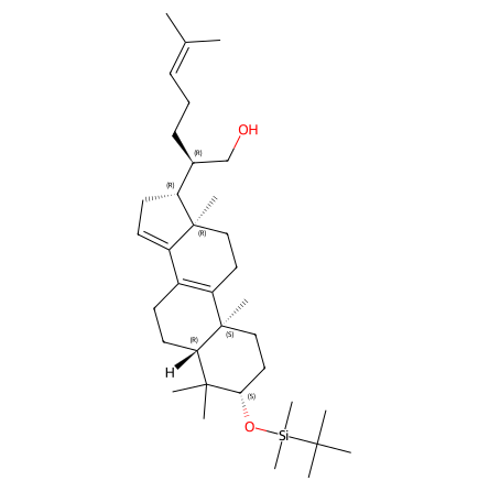 CC(C)=CCC[C@@H](CO)[C@H]1CC=C2C3=C(CC[C@@]21C)[C@@]1(C)CC[C@H](O[Si](C)(C)C(C)(C)C)C(C)(C)[C@@H]1CC3